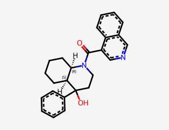 O=C(c1cncc2ccccc12)N1CCC(O)(c2ccccc2)[C@H]2CCCC[C@H]21